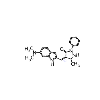 CC1NN(c2ccccc2)C(=O)/C1=C\c1cc2ccc(N(C)C)cc2[nH]1